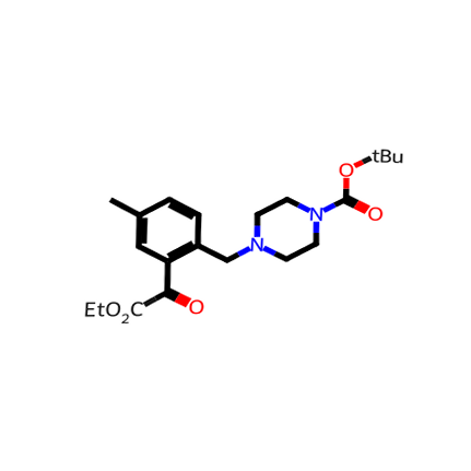 CCOC(=O)C(=O)c1cc(C)ccc1CN1CCN(C(=O)OC(C)(C)C)CC1